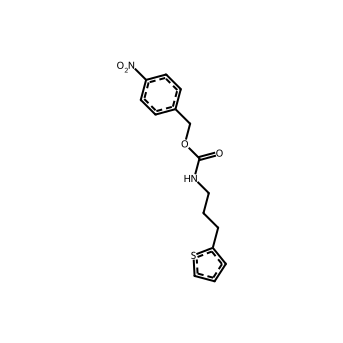 O=C(NCCCc1cccs1)OCc1ccc([N+](=O)[O-])cc1